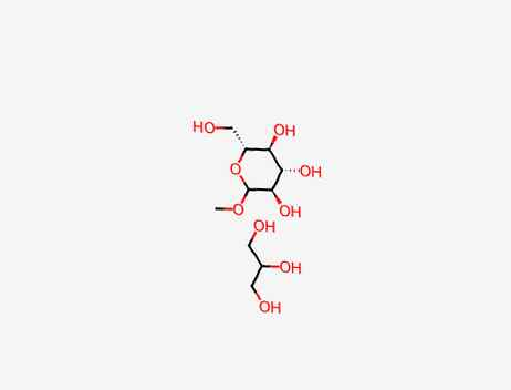 COC1O[C@H](CO)[C@@H](O)[C@H](O)[C@H]1O.OCC(O)CO